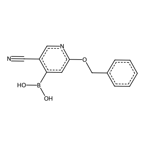 N#Cc1cnc(OCc2ccccc2)cc1B(O)O